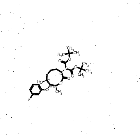 C[C@@H]1OC(=O)[C@@H](N(C(=O)OC(C)(C)C)C(=O)OC(C)(C)C)CCC[C@H](O)[C@@H]1Oc1cccc(F)c1